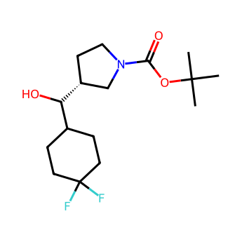 CC(C)(C)OC(=O)N1CC[C@@H](C(O)C2CCC(F)(F)CC2)C1